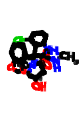 CNC(=O)[C@@H]1C[C@@H](O)C[N+]1(C)C1(c2cccc3c2OCO3)C(=O)Nc2cccc(Cl)c21